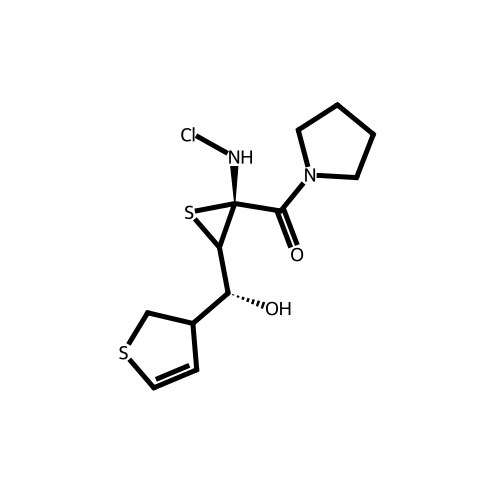 O=C(N1CCCC1)[C@@]1(NCl)SC1[C@H](O)C1C=CSC1